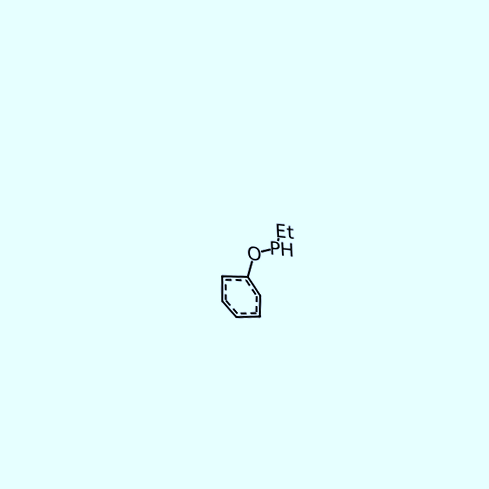 CCPOc1ccccc1